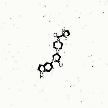 O=C(c1nccs1)N1CCN([C@@H]2CC(=O)N(c3ccc4[nH]ccc4c3)C2)CC1